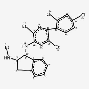 CCN[C@H]1Cc2ccccc2[C@H]1Nc1nc(CC)c(-c2ccc(Cl)cc2Cl)nc1CC